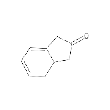 O=C1CC2=CC=CCC2C1